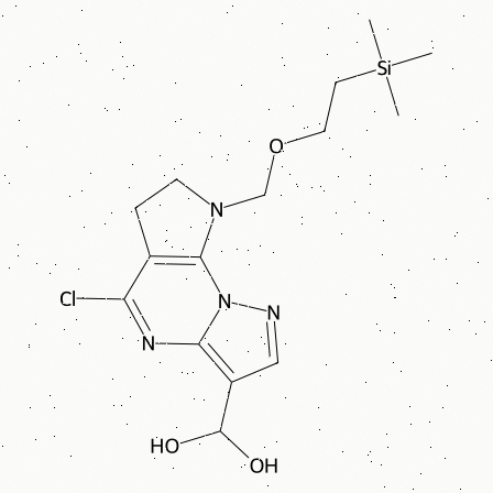 C[Si](C)(C)CCOCN1CCc2c(Cl)nc3c(C(O)O)cnn3c21